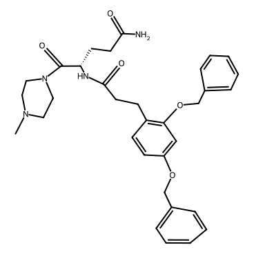 CN1CCN(C(=O)[C@H](CCC(N)=O)NC(=O)CCc2ccc(OCc3ccccc3)cc2OCc2ccccc2)CC1